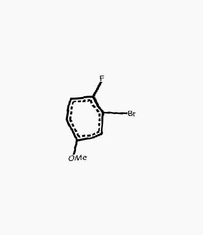 COc1ccc(F)c(Br)c1